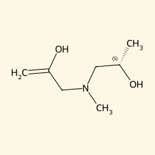 C=C(O)CN(C)C[C@H](C)O